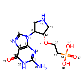 Nc1nc2c(ncn2C2CNC[C@@H]2OCCP(=O)(O)O)c(=O)[nH]1